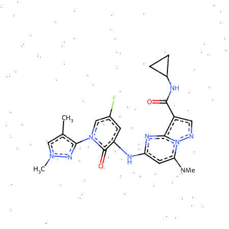 CNc1cc(Nc2cc(F)cn(-c3nn(C)cc3C)c2=O)nc2c(C(=O)NC3CC3)cnn12